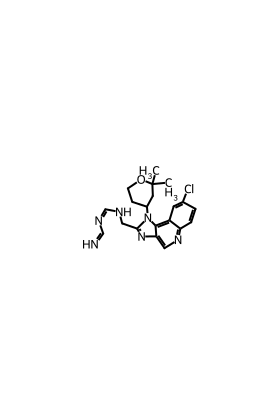 CC1(C)CC(n2c(CN/C=N\C=N)nc3cnc4ccc(Cl)cc4c32)CCO1